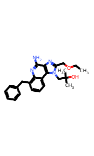 CCOCc1nc2c(N)nc3c(Cc4ccccc4)cccc3c2n1CC(C)(C)O